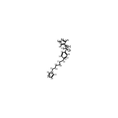 Cc1nn(C)c(C)c1N[SH](=O)(I)c1ccc(CCCCCCn2ccnc2)cc1